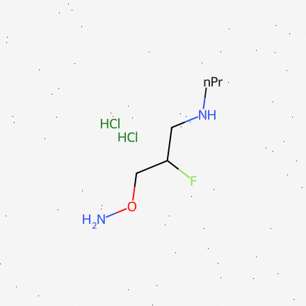 CCCNCC(F)CON.Cl.Cl